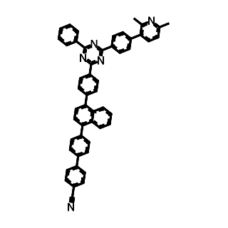 Cc1ccc(-c2ccc(-c3nc(-c4ccccc4)nc(-c4ccc(-c5ccc(-c6ccc(-c7ccc(C#N)cc7)cc6)c6ccccc56)cc4)n3)cc2)c(C)n1